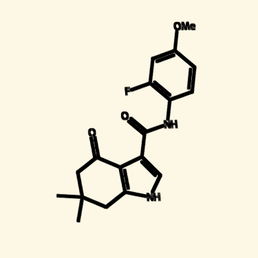 COc1ccc(NC(=O)c2c[nH]c3c2C(=O)CC(C)(C)C3)c(F)c1